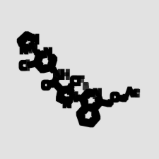 CC(=O)COCc1ncc(-n2ncc(C(=O)Nc3cnc(-n4nccn4)c(Cl)c3)c2C(F)(F)F)c2ccccc12